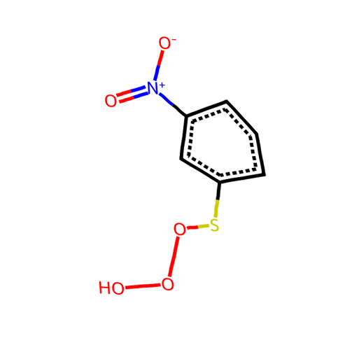 O=[N+]([O-])c1cccc(SOOO)c1